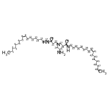 CCCCCCCC/C=C\CCCCCCCCNC(=O)CCN(CCN)CCC(=O)NCCCCCCCC/C=C\CCCCCCCC